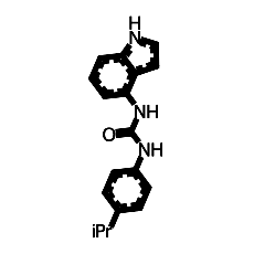 CC(C)c1ccc(NC(=O)Nc2cccc3[nH]ccc23)cc1